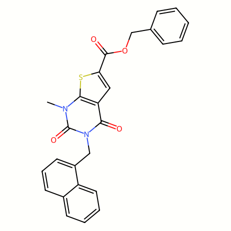 Cn1c(=O)n(Cc2cccc3ccccc23)c(=O)c2cc(C(=O)OCc3ccccc3)sc21